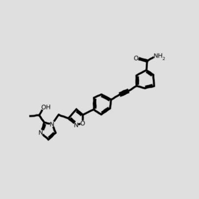 CC(O)c1nccn1Cc1cc(-c2ccc(C#Cc3cccc(C(N)=O)c3)cc2)on1